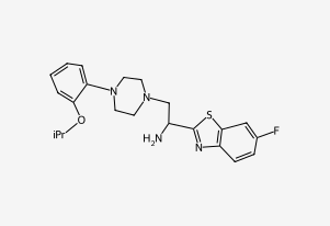 CC(C)Oc1ccccc1N1CCN(CC(N)c2nc3ccc(F)cc3s2)CC1